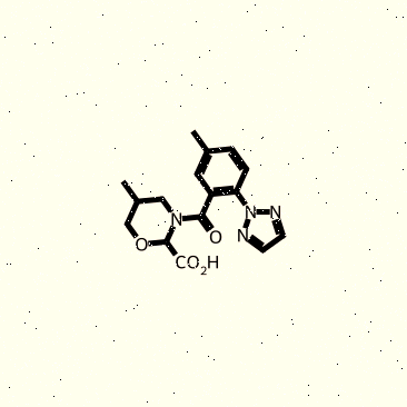 Cc1ccc(-n2nccn2)c(C(=O)N2CC(C)COC2C(=O)O)c1